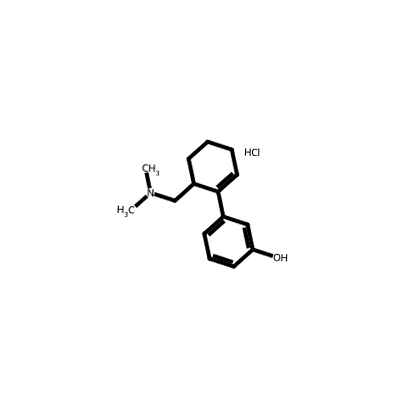 CN(C)CC1CCCC=C1c1cccc(O)c1.Cl